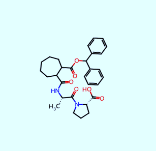 C[C@H](NC(=O)C1CCCCCC1C(=O)OC(c1ccccc1)c1ccccc1)C(=O)N1CCC[C@H]1C(=O)O